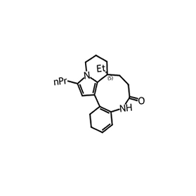 CCCc1cc2c3n1CCC[C@@]3(CC)CCC(=O)NC1=C2CCC=C1